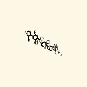 C#Cc1cnccc1-c1cc(Cl)c(C(=O)Nc2cnc(N3CCn4c(nnc4C(F)(F)F)C3)c(Cl)c2)cc1F